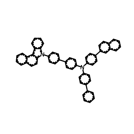 c1ccc(-c2ccc(N(c3ccc(-c4ccc(-n5c6ccccc6c6c7ccccc7ccc65)cc4)cc3)c3ccc(-c4ccc5ccccc5c4)cc3)cc2)cc1